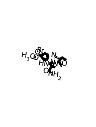 COC(=O)c1cc(Nc2nn([C@H]3COCC[C@@H]3C#N)cc2C(N)=O)ccc1Br